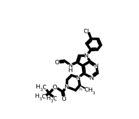 C[C@H]1CN(C(=O)OC(C)(C)C)CCN1c1ncnc2c1c(NC=O)cn2-c1cccc(Cl)c1